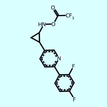 O=C(ONC1CC1c1ccc(-c2ccc(F)cc2F)nc1)C(F)(F)F